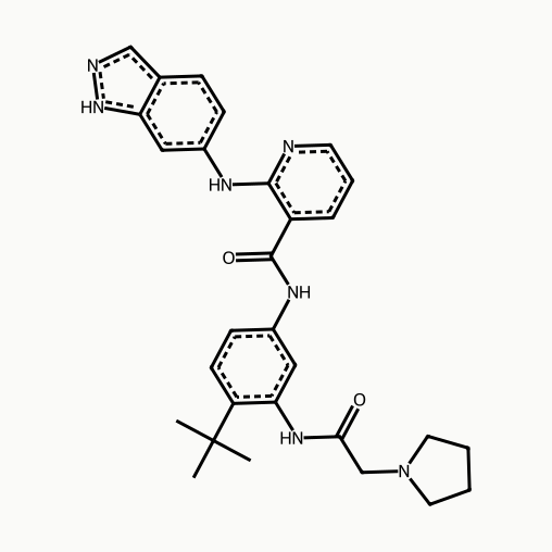 CC(C)(C)c1ccc(NC(=O)c2cccnc2Nc2ccc3cn[nH]c3c2)cc1NC(=O)CN1CCCC1